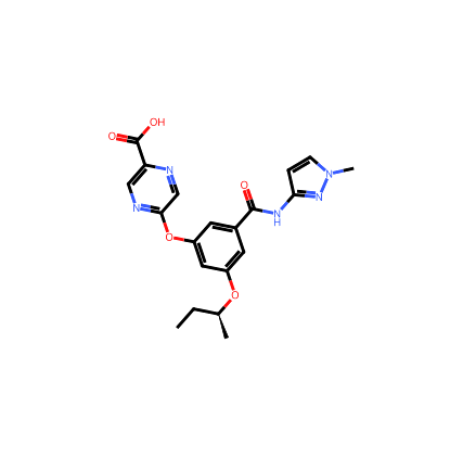 CC[C@H](C)Oc1cc(Oc2cnc(C(=O)O)cn2)cc(C(=O)Nc2ccn(C)n2)c1